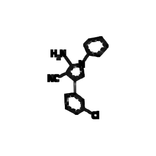 N#Cc1c(-c2cccc(Cl)c2)cn(-c2ccccc2)c1N